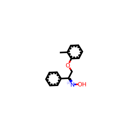 Cc1ccccc1OC/C(=N\O)c1ccccc1